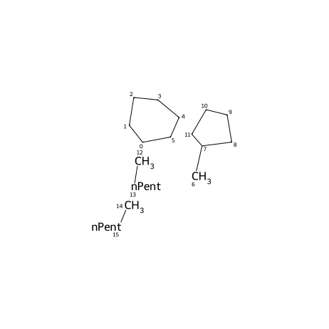 C1CCCCC1.CC1CCCC1.CCCCCC.CCCCCC